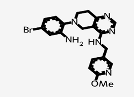 COc1ccc(CNc2ncnc3c2CN(c2ccc(Br)cc2N)CC3)cn1